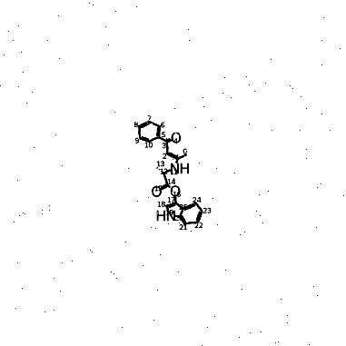 CC(=CC(=O)c1ccccc1)N[C@@H](C)C(=O)Oc1c[nH]c2ccccc12